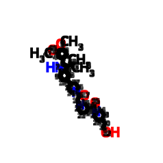 COc1ccc(-c2[nH]c3ccc(C4CCN(C(=O)CN5CCC[C@H](C(=O)N6CCC(CCO)CC6)C5)CC4)cc3c2C(C)C)cc1OC